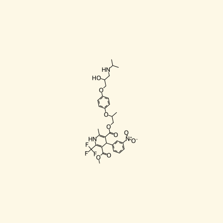 COC(=O)C1=C(C(F)(F)F)NC(C)=C(C(=O)OCC(C)Oc2ccc(OCC(O)CNC(C)C)cc2)C1c1cccc([N+](=O)[O-])c1